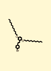 CCCCCCCCCCCCOc1ccc(OCCCCCCCCCCCC)c(C=Cc2ccc(Br)cc2)c1